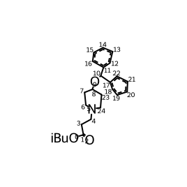 CC(C)COC(=O)CCN1CCC(OC(c2ccccc2)c2ccccc2)CC1